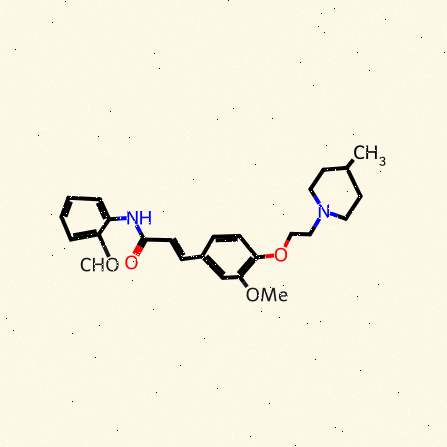 COc1cc(/C=C/C(=O)Nc2ccccc2C=O)ccc1OCCN1CCC(C)CC1